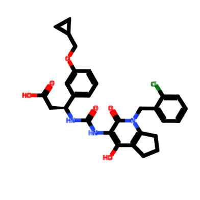 O=C(O)C[C@H](NC(=O)Nc1c(O)c2c(n(Cc3ccccc3Cl)c1=O)CCC2)c1cccc(OCC2CC2)c1